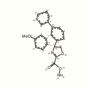 COc1ccc([C@]2(c3cccc(-c4cccnc4)c3)COC(C(=O)ON)=N2)cc1